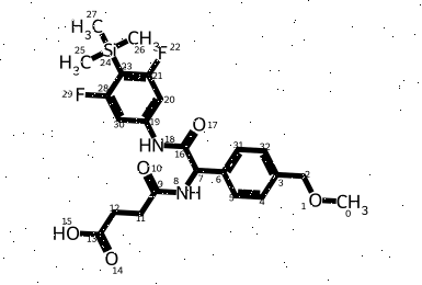 COCc1ccc(C(NC(=O)CCC(=O)O)C(=O)Nc2cc(F)c([Si](C)(C)C)c(F)c2)cc1